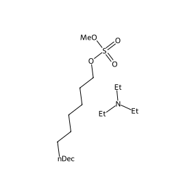 CCCCCCCCCCCCCCCCOS(=O)(=O)OC.CCN(CC)CC